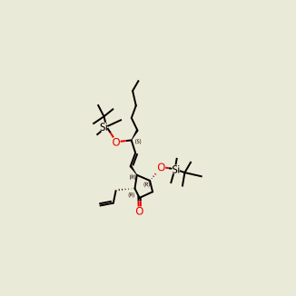 C=CC[C@H]1C(=O)C[C@@H](O[Si](C)(C)C(C)(C)C)[C@@H]1C=C[C@H](CCCCC)O[Si](C)(C)C(C)(C)C